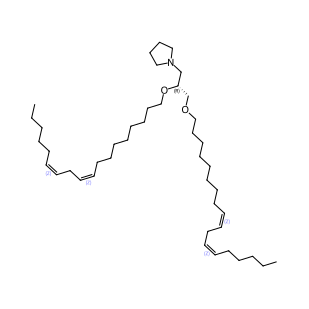 CCCCC/C=C\C/C=C\CCCCCCCCOC[C@@H](CN1CCCC1)OCCCCCCCC/C=C\C/C=C\CCCCC